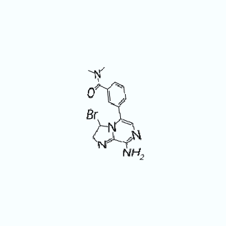 CN(C)C(=O)c1cccc(C2=CN=C(N)C3=NCC(Br)N23)c1